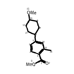 COC(=O)c1ccc(C2CCC(OC)CC2)cc1C